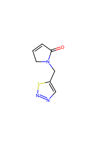 O=C1C=CCN1Cc1cnns1